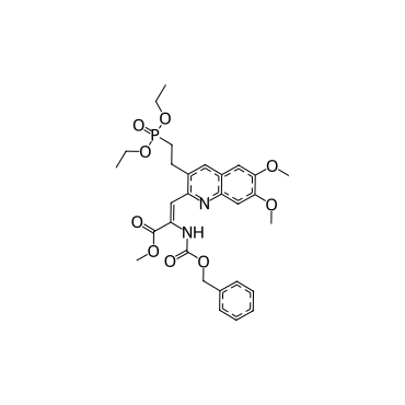 CCOP(=O)(CCc1cc2cc(OC)c(OC)cc2nc1C=C(NC(=O)OCc1ccccc1)C(=O)OC)OCC